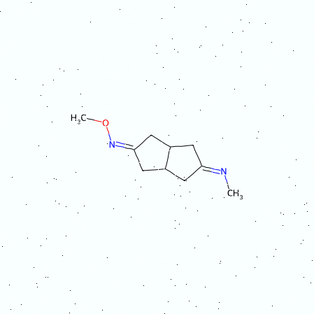 CN=C1CC2CC(=NOC)CC2C1